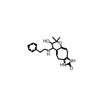 CC1(C)OC2=C/Cc3[nH]c(=O)[nH]c3C/C=C\2C(NCCc2ccccc2)C1O